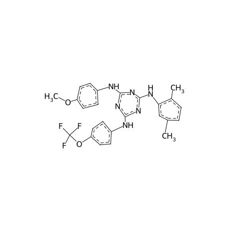 COc1ccc(Nc2nc(Nc3ccc(OC(F)(F)F)cc3)nc(Nc3cc(C)ccc3C)n2)cc1